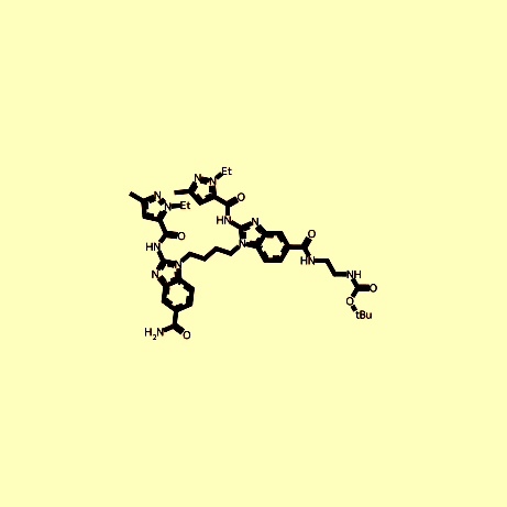 CCn1nc(C)cc1C(=O)Nc1nc2cc(C(N)=O)ccc2n1CCCCn1c(NC(=O)c2cc(C)nn2CC)nc2cc(C(=O)NCCNC(=O)OC(C)(C)C)ccc21